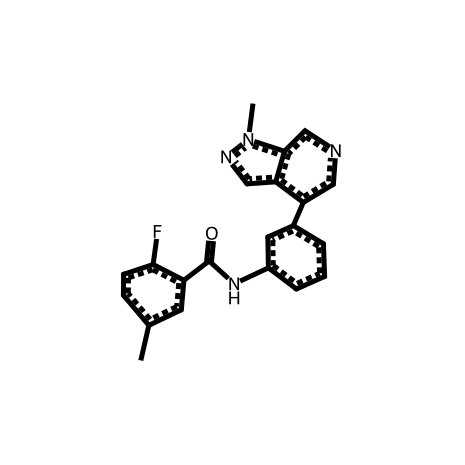 Cc1ccc(F)c(C(=O)Nc2cccc(-c3cncc4c3cnn4C)c2)c1